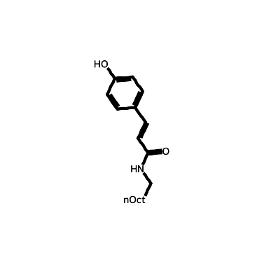 CCCCCCCCCNC(=O)C=Cc1ccc(O)cc1